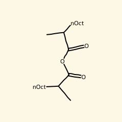 CCCCCCCCC(C)C(=O)OC(=O)C(C)CCCCCCCC